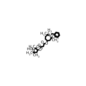 CC1(C)CCC(OC(=O)CC(=O)OC2CC(C)(C)N(O)C2(C)C)CC(C)(C)N1Cc1ccccc1